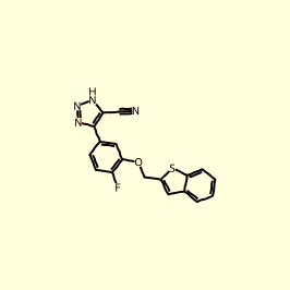 N#Cc1[nH]nnc1-c1ccc(F)c(OCc2cc3ccccc3s2)c1